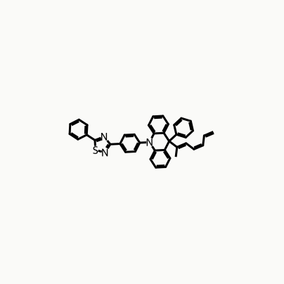 C=C/C=C\C=C(/C)C1(c2ccccc2)c2ccccc2N(c2ccc(-c3nsc(-c4ccccc4)n3)cc2)c2ccccc21